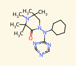 CN1C(C)(C)CN(N(c2ncncn2)C2CCCCC2)C(=O)C1(C)C